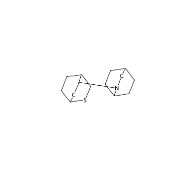 C1CC2CCC1CN2C1CC2CCC1CS2